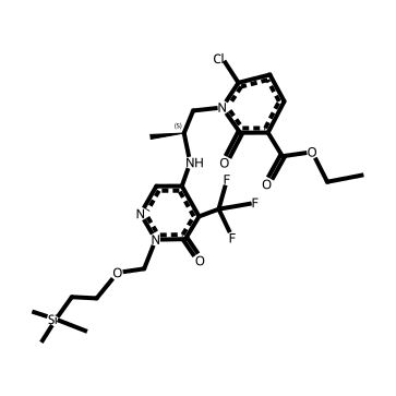 CCOC(=O)c1ccc(Cl)n(C[C@H](C)Nc2cnn(COCC[Si](C)(C)C)c(=O)c2C(F)(F)F)c1=O